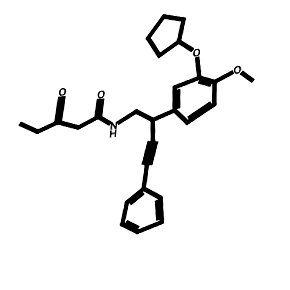 CCC(=O)CC(=O)NCC(C#Cc1ccccc1)c1ccc(OC)c(OC2CCCC2)c1